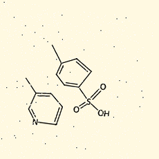 Cc1ccc(S(=O)(=O)O)cc1.Cc1cccnc1